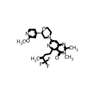 C=C(CCc1nc(N2CCO[C@H](c3ccnc(OC)c3)C2)cc2nc(C)n(C)c(=O)c12)C(F)(F)F